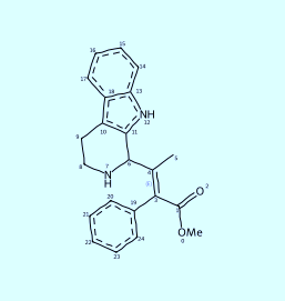 COC(=O)/C(=C(\C)C1NCCc2c1[nH]c1ccccc21)c1ccccc1